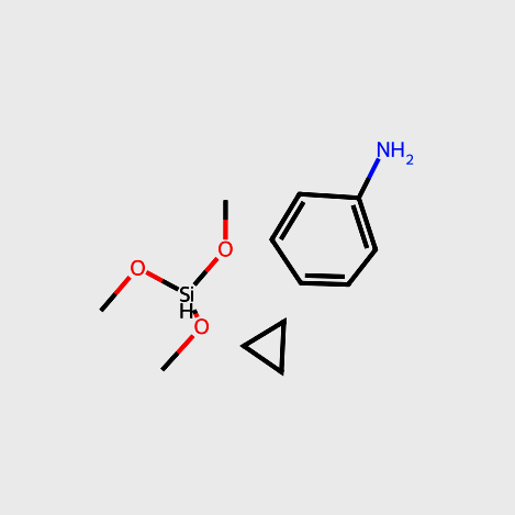 C1CC1.CO[SiH](OC)OC.Nc1ccccc1